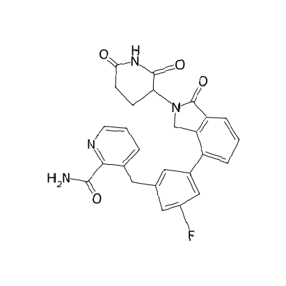 NC(=O)c1ncccc1Cc1cc(F)cc(-c2cccc3c2CN(C2CCC(=O)NC2=O)C3=O)c1